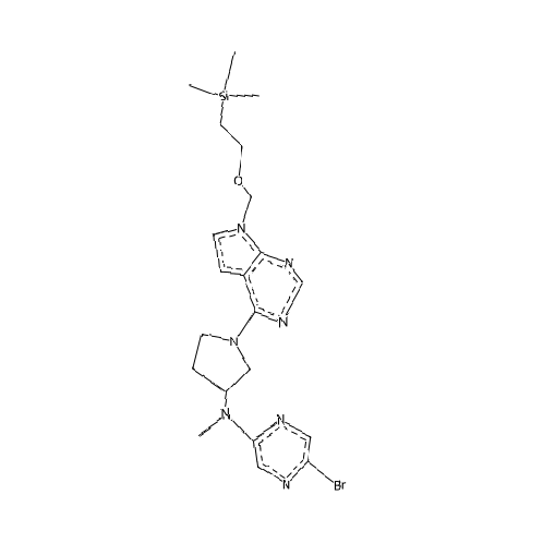 CN(c1cnc(Br)cn1)C1CCN(c2ncnc3c2ccn3COCC[Si](C)(C)C)C1